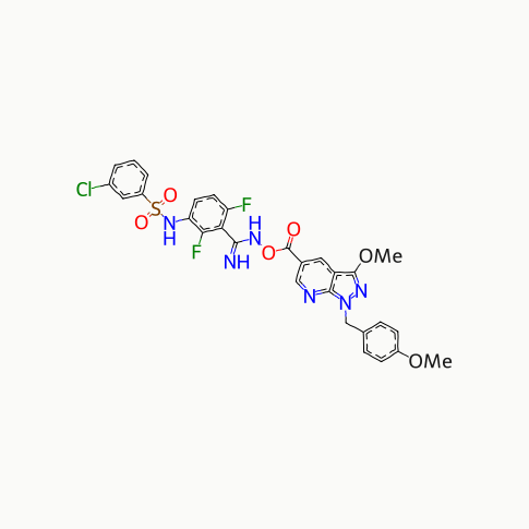 COc1ccc(Cn2nc(OC)c3cc(C(=O)ONC(=N)c4c(F)ccc(NS(=O)(=O)c5cccc(Cl)c5)c4F)cnc32)cc1